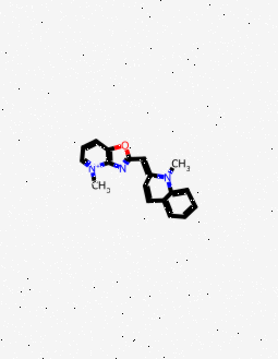 CN1/C(=C/c2nc3c(ccc[n+]3C)o2)C=Cc2ccccc21